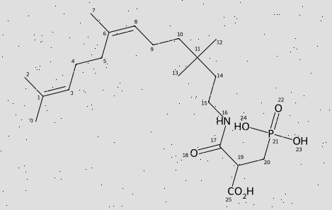 CC(C)=CCCC(C)=CCCC(C)(C)CCNC(=O)C(CP(=O)(O)O)C(=O)O